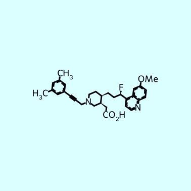 COc1ccc2nccc([C@H](F)CC[C@@H]3CCN(CC#Cc4cc(C)cc(C)c4)C[C@@H]3CC(=O)O)c2c1